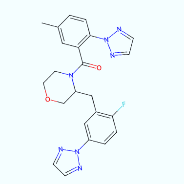 Cc1ccc(-n2nccn2)c(C(=O)N2CCOCC2Cc2cc(-n3nccn3)ccc2F)c1